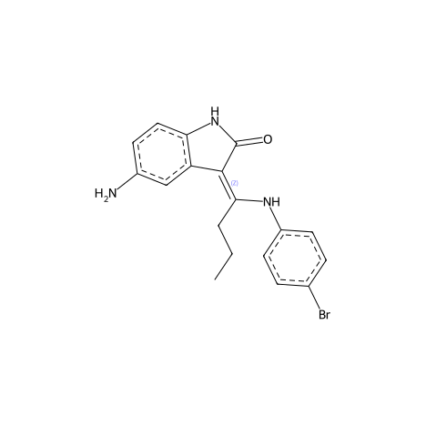 CCC/C(Nc1ccc(Br)cc1)=C1/C(=O)Nc2ccc(N)cc21